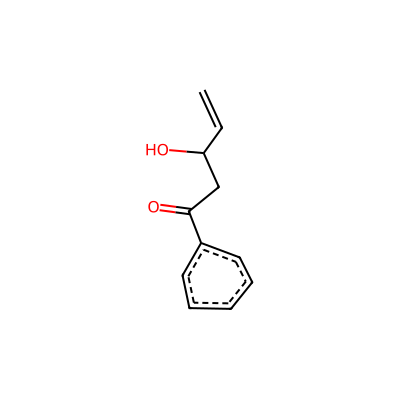 C=CC(O)CC(=O)c1ccccc1